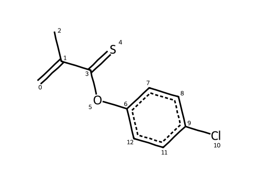 C=C(C)C(=S)Oc1ccc(Cl)cc1